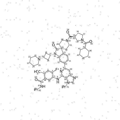 Cc1cc(F)c(Nc2nc(-c3ccc4c(c3)N([C@H]3C[C@@H](N5CCCCC5)C3)C(=O)C43CCN(C(=O)[C@H]4CCN(C(=O)C5CCCCC5)C4)CC3)cc3ncn(C(C)C)c23)cc1C(=O)NC(C)C